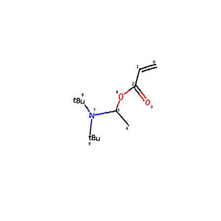 C=CC(=O)OC(C)N(C(C)(C)C)C(C)(C)C